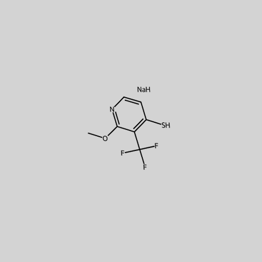 COc1nccc(S)c1C(F)(F)F.[NaH]